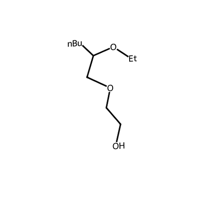 CCCCC(COCCO)OCC